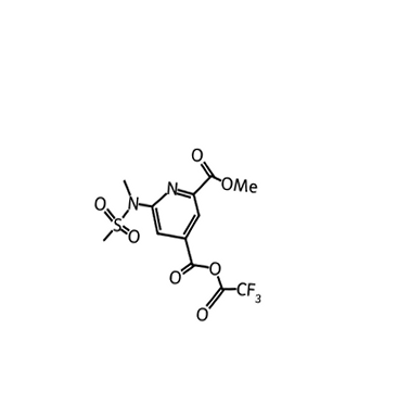 COC(=O)c1cc(C(=O)OC(=O)C(F)(F)F)cc(N(C)S(C)(=O)=O)n1